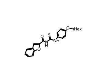 CCCCCCOc1ccc(NC(=S)NC(=O)c2cc3ccccc3o2)cc1